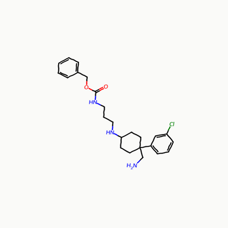 NCC1(c2cccc(Cl)c2)CCC(NCCCNC(=O)OCc2ccccc2)CC1